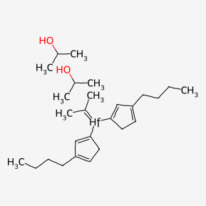 CC(C)O.CC(C)O.CCCCC1=CC[C]([Hf]([C]2=CC(CCCC)=CC2)=[C](C)C)=C1